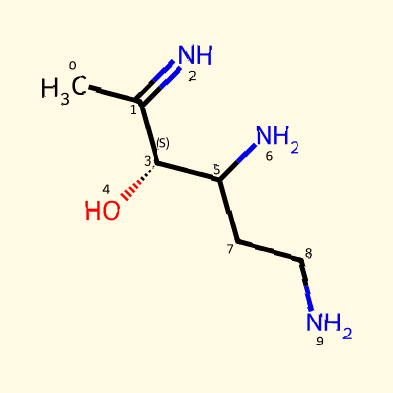 CC(=N)[C@@H](O)C(N)CCN